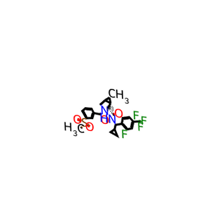 CC1C2CN(C(=O)c3cccc(S(C)(=O)=O)c3)[C@@H](C(=O)NC(c3ccc(C(F)(F)F)cc3F)C3CC3)C12